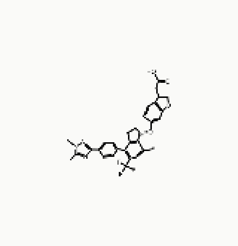 Cc1nc(-c2ccc(-c3c(C(F)(F)F)cc(F)c4c3CC[C@H]4Oc3ccc4c(c3)OCC4CC(=O)O)cc2)nn1C